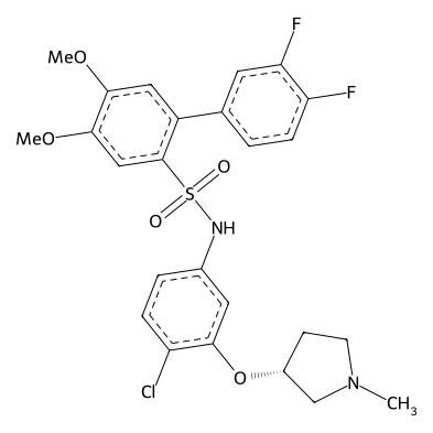 COc1cc(-c2ccc(F)c(F)c2)c(S(=O)(=O)Nc2ccc(Cl)c(O[C@@H]3CCN(C)C3)c2)cc1OC